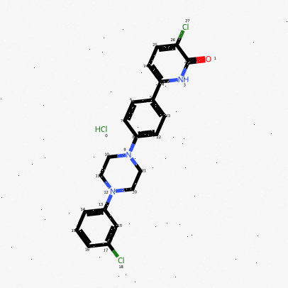 Cl.O=c1[nH]c(-c2ccc(N3CCN(c4cccc(Cl)c4)CC3)cc2)ccc1Cl